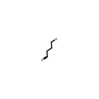 [O]CCCC=O